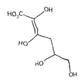 O=C(O)C(O)=C(O)CC(O)CO